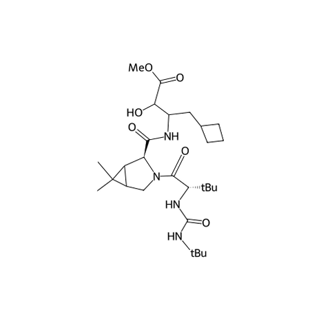 COC(=O)C(O)C(CC1CCC1)NC(=O)[C@@H]1C2C(CN1C(=O)[C@@H](NC(=O)NC(C)(C)C)C(C)(C)C)C2(C)C